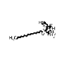 CCCCCCCCCCCCCCCCCC(=O)N[C@@H](CC(C)C)C(=O)N[C@@H](Cc1c[nH]cn1)C(=O)O